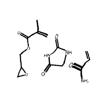 C=C(C)C(=O)OCC1CO1.C=CC(N)=O.O=C1CNC(=O)N1